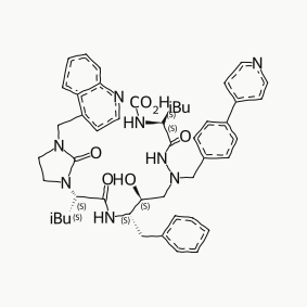 CC[C@H](C)[C@H](NC(=O)O)C(=O)NN(Cc1ccc(-c2ccncc2)cc1)C[C@H](O)[C@H](Cc1ccccc1)NC(=O)[C@H]([C@@H](C)CC)N1CCN(Cc2ccnc3ccccc23)C1=O